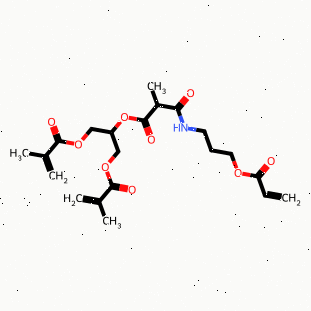 C=CC(=O)OCCCNC(=O)C(C)C(=O)OC(COC(=O)C(=C)C)COC(=O)C(=C)C